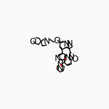 COc1ccc(CN2C3CC2CN(c2ccc(-c4cc(OCCN5CCC6(CCOCC6)C5)cn5ncc(C#N)c45)cn2)C3)cn1